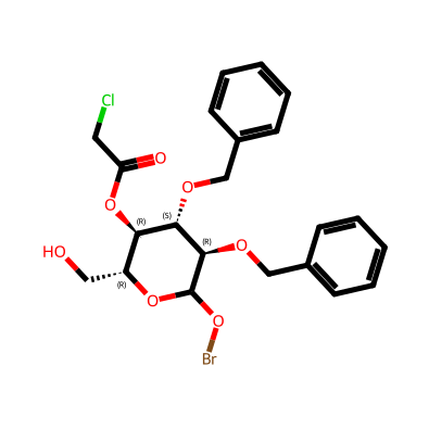 O=C(CCl)O[C@H]1[C@H](OCc2ccccc2)[C@@H](OCc2ccccc2)C(OBr)O[C@@H]1CO